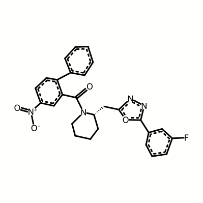 O=C(c1cc([N+](=O)[O-])ccc1-c1ccccc1)N1CCCC[C@H]1Cc1nnc(-c2cccc(F)c2)o1